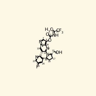 C[C@H](NC(=O)Oc1cnn2ccc(N3[C@H](CO)CC[C@@H]3c3cncc(F)c3)nc12)C(F)(F)F